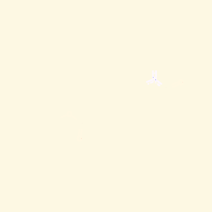 C=CCOC(=O)c1ccc(-c2ccc(=O)[nH]c2)cc1